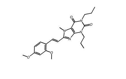 CCCn1c(=O)c2c(nc(/C=C/c3ccc(OC)cc3OC)n2C)n(CCC)c1=O